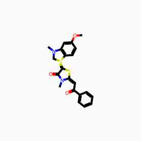 COc1ccc2c(c1)N(C)CS2=C1SC(=CC(=O)c2ccccc2)N(C)C1=O